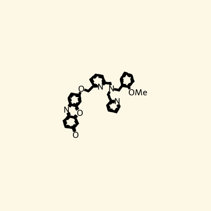 COc1ccccc1CN(Cc1ccccn1)Cc1cccc(COc2ccc3nc4ccc(=O)cc-4oc3c2)n1